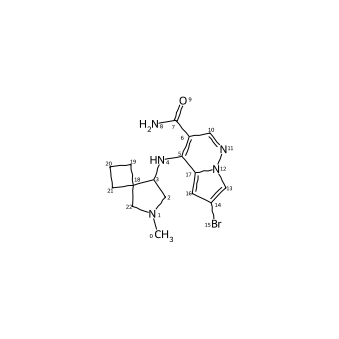 CN1CC(Nc2c(C(N)=O)cnn3cc(Br)cc23)C2(CCC2)C1